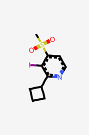 CS(=O)(=O)c1ccnc(C2CCC2)c1I